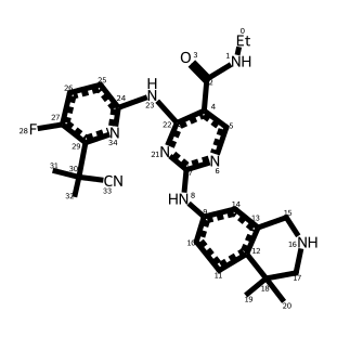 CCNC(=O)c1cnc(Nc2ccc3c(c2)CNCC3(C)C)nc1Nc1ccc(F)c(C(C)(C)C#N)n1